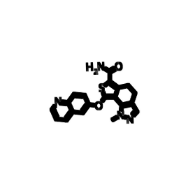 Cn1ncc2c1-c1c(Oc3ccc4ncccc4c3)sc(C(N)=O)c1CC2